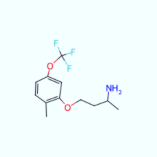 Cc1ccc(OC(F)(F)F)cc1OCCC(C)N